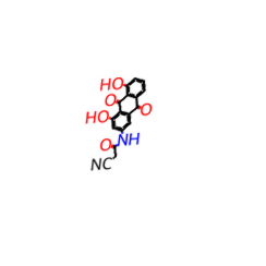 N#CCC(=O)Nc1cc(O)c2c(c1)C(=O)c1cccc(O)c1C2=O